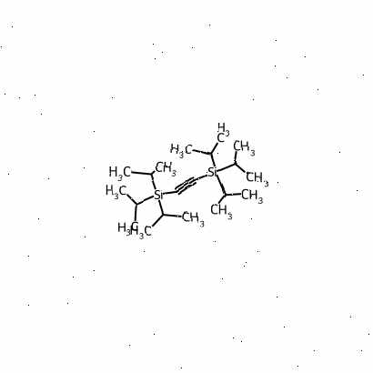 CC(C)[Si](C#C[Si](C(C)C)(C(C)C)C(C)C)(C(C)C)C(C)C